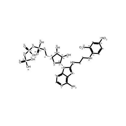 Nc1ncnc2c1nc(NCCNc1ccc([N+](=O)[O-])cc1[N+](=O)[O-])n2[C@@H]1O[C@H](COP(=O)(O)OP(=O)(O)OP(=O)(O)O)[C@@H](O)[C@H]1O